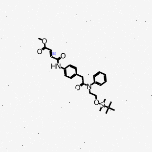 COC(=O)/C=C/C(=O)Nc1ccc(CC(=O)N(CCO[Si](C)(C)C(C)(C)C)c2ccccc2)cc1